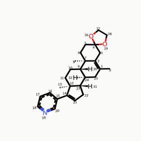 CC1=C2CC3(CC[C@]2(C)[C@H]2CC[C@]4(C)C(c5cccnc5)=CC[C@H]4[C@@H]2C1)OCCO3